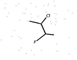 [CH2]C(Cl)C(C)F